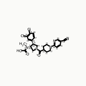 CN(C(=O)O)[C@H]1CN(C(=O)C2CCN(c3ccc(C#N)cn3)CC2)C[C@@H]1c1ccc(Cl)c(Cl)c1